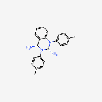 Cc1ccc(N2c3ccccc3C(N)N(c3ccc(C)cc3)C2N)cc1